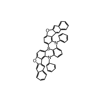 c1ccc(N2c3cccc4c3B(c3ccc5oc6cc7ccccc7cc6c5c32)c2ccc3oc5cc6ccccc6cc5c3c2N4c2ccccc2)cc1